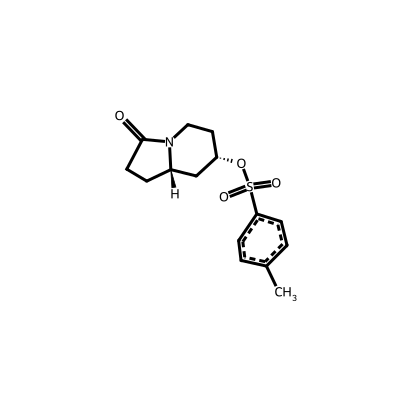 Cc1ccc(S(=O)(=O)O[C@H]2CCN3C(=O)CC[C@H]3C2)cc1